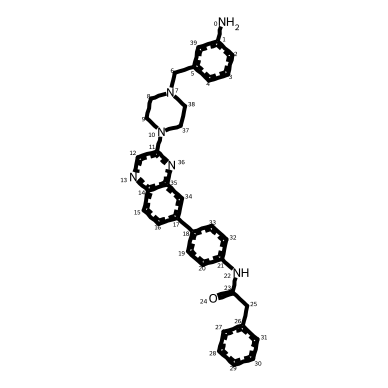 Nc1cccc(CN2CCN(c3cnc4ccc(-c5ccc(NC(=O)Cc6ccccc6)cc5)cc4n3)CC2)c1